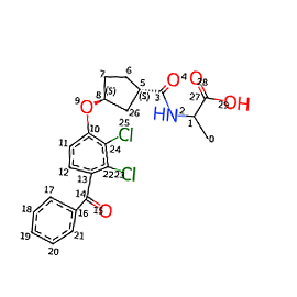 CC(NC(=O)[C@H]1CC[C@H](Oc2ccc(C(=O)c3ccccc3)c(Cl)c2Cl)C1)C(=O)O